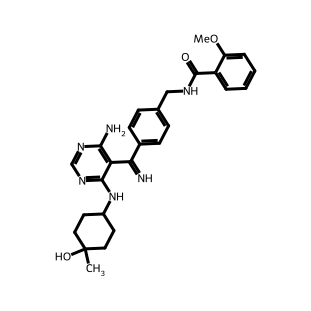 COc1ccccc1C(=O)NCc1ccc(C(=N)c2c(N)ncnc2NC2CCC(C)(O)CC2)cc1